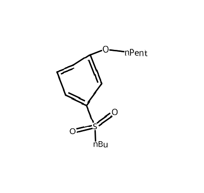 [CH2]CCCS(=O)(=O)c1cccc(OCCCCC)c1